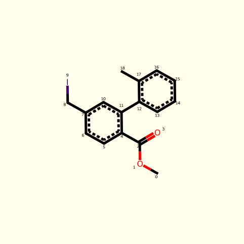 COC(=O)c1ccc(CI)cc1-c1ccccc1C